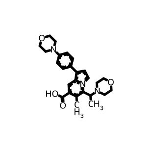 Cc1c(C(=O)O)cc2c(-c3ccc(N4CCOCC4)cc3)ccn2c1C(C)N1CCOCC1